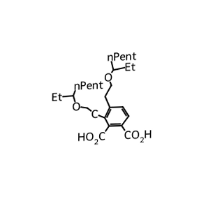 CCCCCC(CC)OCCc1ccc(C(=O)O)c(C(=O)O)c1CCOC(CC)CCCCC